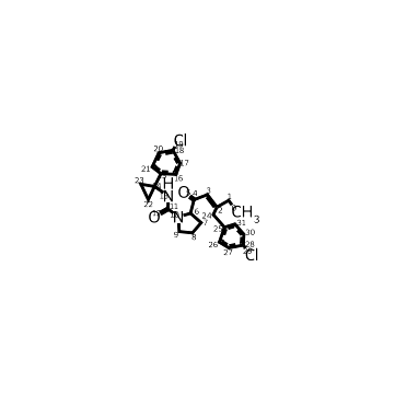 CC/C(=C/C(=O)C1CCCN1C(=O)NC1(c2ccc(Cl)cc2)CC1)Cc1ccc(Cl)cc1